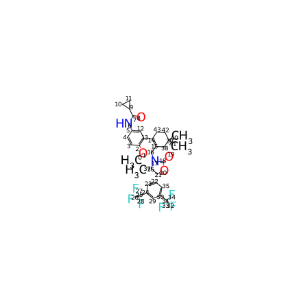 COc1ccc(NC(=O)C2CC2)cc1C1=C(CN2C(=O)O[C@H](c3cc(C(F)(F)F)cc(C(F)(F)F)c3)[C@@H]2C)CC(C)(C)CC1